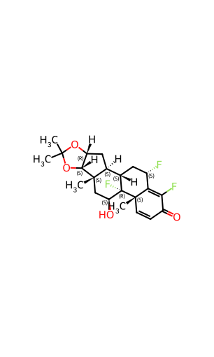 CC1(C)O[C@@H]2[C@@H](C[C@H]3[C@@H]4C[C@H](F)C5=C(F)C(=O)C=C[C@]5(C)[C@@]4(F)[C@@H](O)C[C@]23C)O1